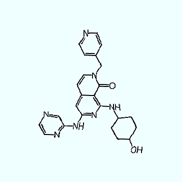 O=c1c2c(NC3CCC(O)CC3)nc(Nc3cnccn3)cc2ccn1Cc1ccncc1